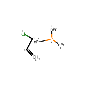 C=CCCl.CCCP(CCC)CCC